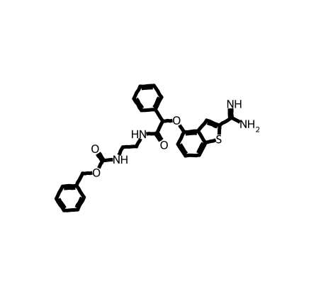 N=C(N)c1cc2c(OC(C(=O)NCCNC(=O)OCc3ccccc3)c3ccccc3)cccc2s1